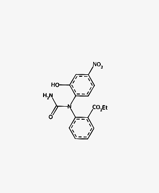 CCOC(=O)c1ccccc1N(C(N)=O)c1ccc([N+](=O)[O-])cc1O